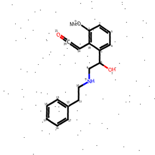 COc1cccc(C(O)CNCCc2ccccc2)c1C=C=O